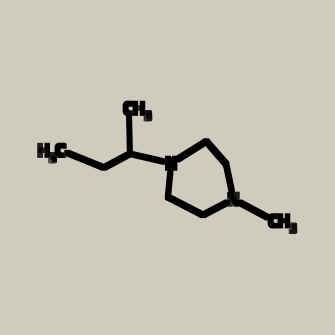 CCC(C)N1CCN(C)CC1